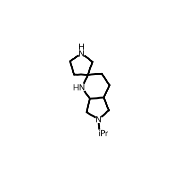 CC(C)N1CC2CCC3(CCNC3)NC2C1